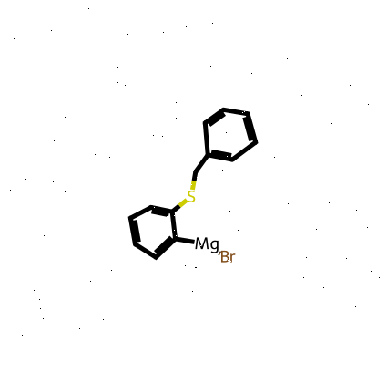 [Br][Mg][c]1ccccc1SCc1ccccc1